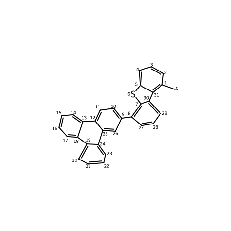 Cc1cccc2sc3c(-c4ccc5c6ccccc6c6ccccc6c5c4)cccc3c12